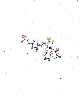 O=C(O)CCN1CCN(C/C=C2\CN(C(C(=O)C3CC3)c3ccccc3F)CCC2S)C(=O)C1